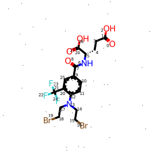 O=C(O)CC[C@H](NC(=O)c1ccc(N(CCBr)CCBr)c(C(F)(F)F)c1)C(=O)O